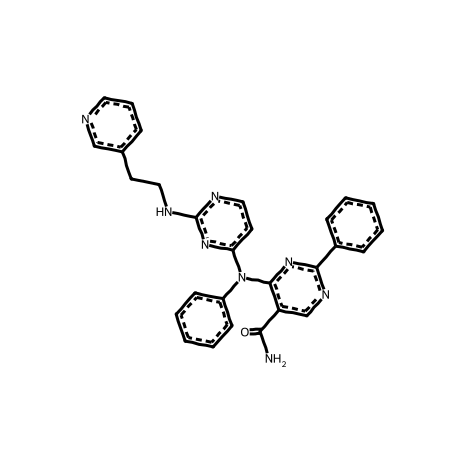 NC(=O)c1cnc(-c2ccccc2)nc1N(c1ccccc1)c1ccnc(NCCc2cccnc2)n1